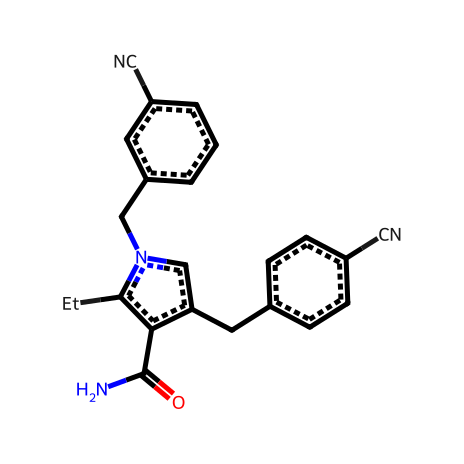 CCc1c(C(N)=O)c(Cc2ccc(C#N)cc2)cn1Cc1cccc(C#N)c1